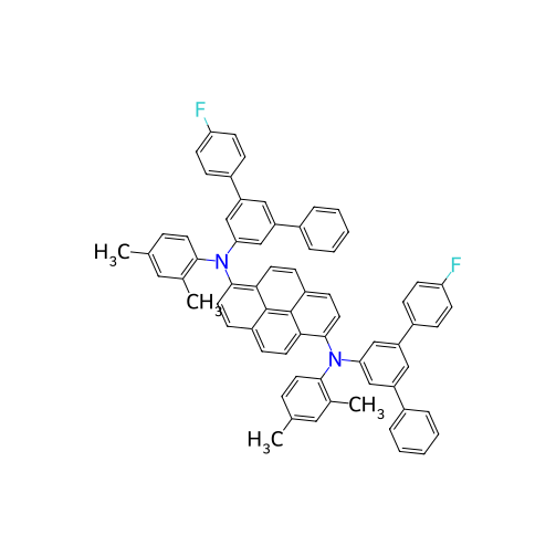 Cc1ccc(N(c2cc(-c3ccccc3)cc(-c3ccc(F)cc3)c2)c2ccc3ccc4c(N(c5cc(-c6ccccc6)cc(-c6ccc(F)cc6)c5)c5ccc(C)cc5C)ccc5ccc2c3c54)c(C)c1